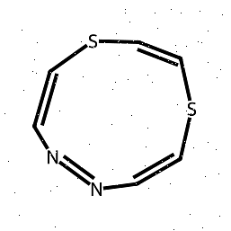 C1=CSC=CSC=CN=N1